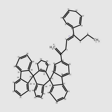 C=C(C/C=C(\CCC)C1=CC=CCC=C1)c1ccc2c(c1)C1(C3=C(CCC=C3)C3(c4ccccc4-c4ccccc43)c3ccccc31)c1ccccc1-2